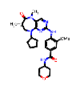 COc1cc(C(=O)NC2CCOCC2)ccc1Nc1ncc2c(n1)N(C1CCCC1)C[C@H](C)C(=O)N2C